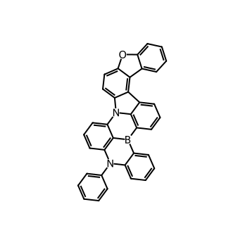 c1ccc(N2c3ccccc3B3c4c2cccc4-n2c4ccc5oc6ccccc6c5c4c4cccc3c42)cc1